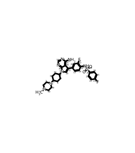 CN1CCN(C2CCC(n3cc(-c4ccc(NS(=O)(=O)c5ccc(F)cc5)c(F)c4)c4c(N)ncnc43)CC2)CC1